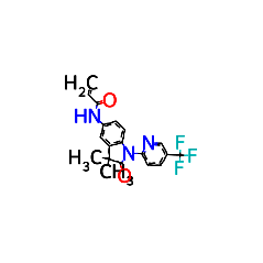 C=CC(=O)Nc1ccc2c(c1)C(C)(C)C(=O)N2c1ccc(C(F)(F)F)cn1